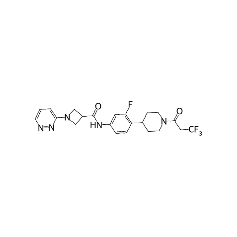 O=C(Nc1ccc(C2CCN(C(=O)CC(F)(F)F)CC2)c(F)c1)C1CN(c2cccnn2)C1